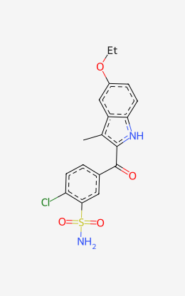 CCOc1ccc2[nH]c(C(=O)c3ccc(Cl)c(S(N)(=O)=O)c3)c(C)c2c1